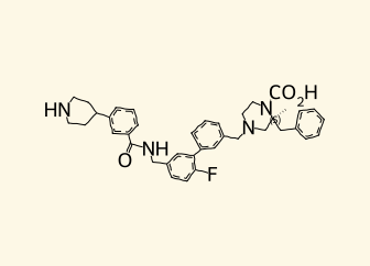 C[C@]1(Cc2ccccc2)CN(Cc2cccc(-c3cc(CNC(=O)c4cccc(C5CCNCC5)c4)ccc3F)c2)CCN1C(=O)O